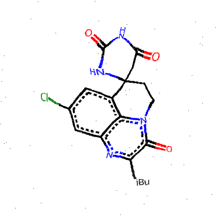 CCC(C)c1nc2cc(Cl)cc3c2n(c1=O)CCC31NC(=O)NC1=O